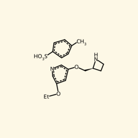 CCOc1cncc(OC[C@@H]2CCN2)c1.Cc1ccc(S(=O)(=O)O)cc1